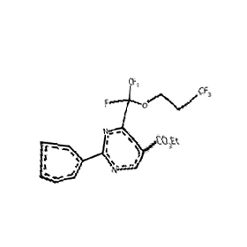 CCOC(=O)c1cnc(-c2ccccc2)nc1C(F)(OCCC(F)(F)F)C(F)(F)F